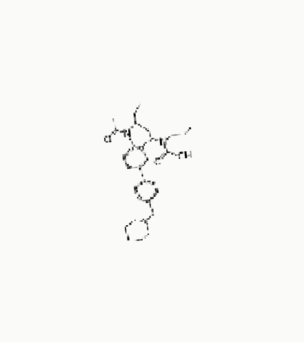 CCCN(C(=O)O)C1CC(CC)N(C(C)=O)c2ccc(-c3ccc(CN4CCCCC4)cc3)cc21